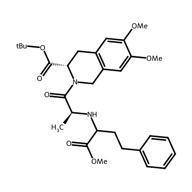 COC(=O)C(CCc1ccccc1)N[C@@H](C)C(=O)N1Cc2cc(OC)c(OC)cc2C[C@H]1C(=O)OC(C)(C)C